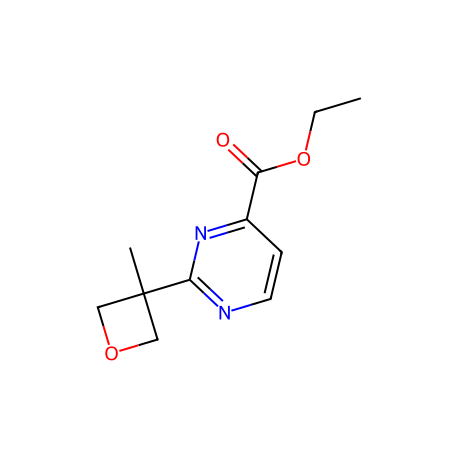 CCOC(=O)c1ccnc(C2(C)COC2)n1